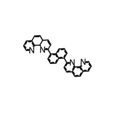 C1=CC2C=Cc3cccnc3C2N=C1c1cccc2c(-c3ccc4ccc5cccnc5c4n3)cccc12